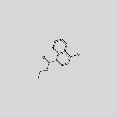 CCOC(=O)c1ccc(Br)c2cccnc12